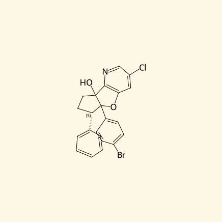 OC12CC[C@@H](c3ccccc3)C1(c1ccc(Br)cc1)Oc1cc(Cl)cnc12